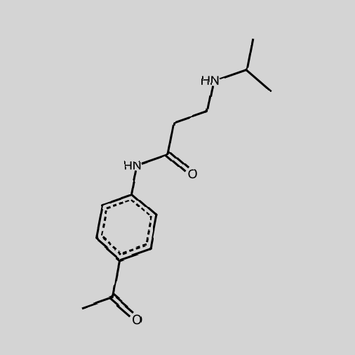 CC(=O)c1ccc(NC(=O)CCNC(C)C)cc1